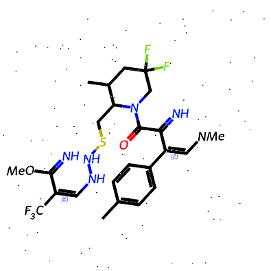 CN/C=C(\C(=N)C(=O)N1CC(F)(F)CC(C)C1CSNN/C=C(\C(=N)OC)C(F)(F)F)c1ccc(C)cc1